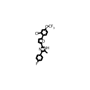 Cc1[nH]c(-c2ccc(-c3ccc(OC(F)(F)F)cc3Cl)o2)nc1-c1ccc(F)cc1